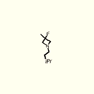 CC(C)CCN1CC(C)(F)C1